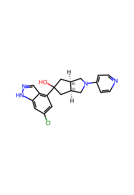 OC1(c2cc(Cl)cc3[nH]ncc23)C[C@H]2CN(c3ccncc3)C[C@H]2C1